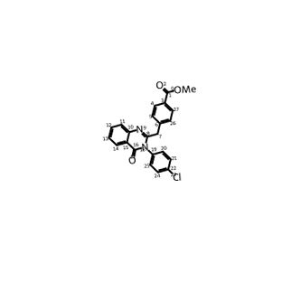 COC(=O)c1ccc(Cc2nc3ccccc3c(=O)n2-c2ccc(Cl)cc2)cc1